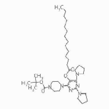 CCCCCCCCCCCCCC(=O)Oc1c(N2CCCC2)nc(N2CCCC2)nc1N1CCN(C(=O)OC(C)(C)C)CC1